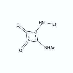 CCNc1c(NC(C)=O)c(=O)c1=O